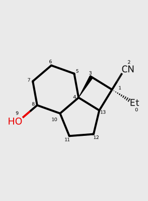 CC[C@@]1(C#N)C[C@]23CCCC(O)C2CCC13